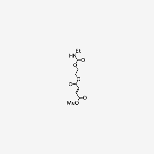 CCNC(=O)OCCOC(=O)/C=C/C(=O)OC